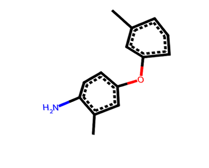 Cc1cccc(Oc2ccc(N)c(C)c2)c1